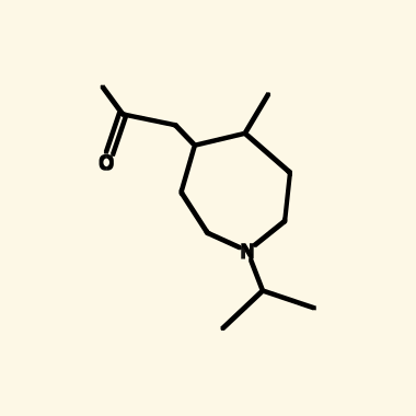 CC(=O)CC1CCN(C(C)C)CCC1C